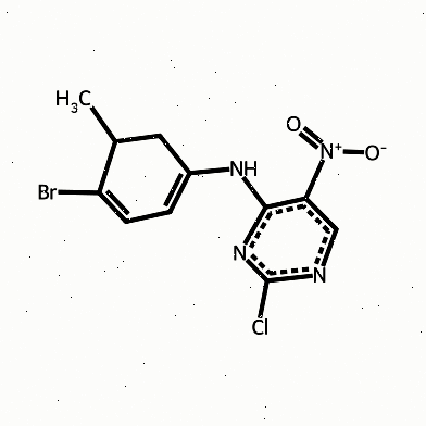 CC1CC(Nc2nc(Cl)ncc2[N+](=O)[O-])=CC=C1Br